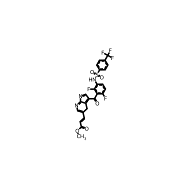 COC(=O)/C=C/C1=CN=C2N=CC(C(=O)c3c(F)ccc(NS(=O)(=O)c4ccc(C(F)(F)F)cc4)c3F)=C2C1